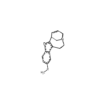 COc1ccc2oc3c(c2c1)CCN1CC=CC3C1